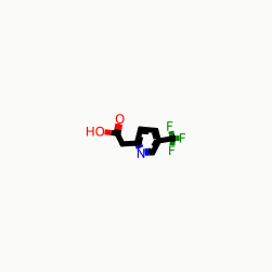 O=C(O)Cc1ccc(C(F)(F)F)cn1